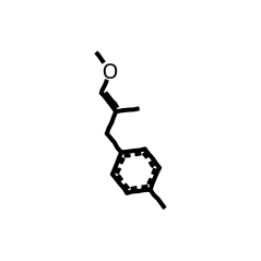 CO/C=C(\C)Cc1ccc(C)cc1